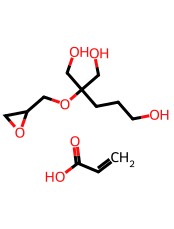 C=CC(=O)O.OCCCC(CO)(CO)OCC1CO1